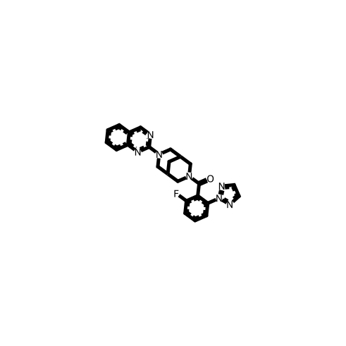 O=C(c1c(F)cccc1-n1nccn1)N1CC2CC(C1)CN(c1ncc3ccccc3n1)C2